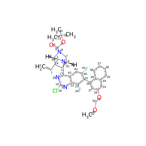 C=CC1[C@@H]2CC[C@@H](CN2C(=O)OC(C)(C)C)N1c1nc(Cl)nc2c(F)c(-c3cc(OCOC)cc4ccccc34)c(F)cc12